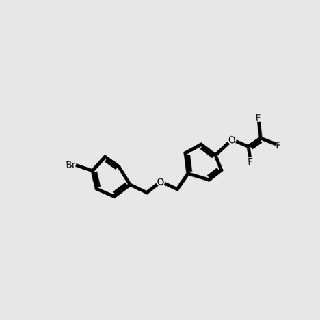 FC(F)=C(F)Oc1ccc(COCc2ccc(Br)cc2)cc1